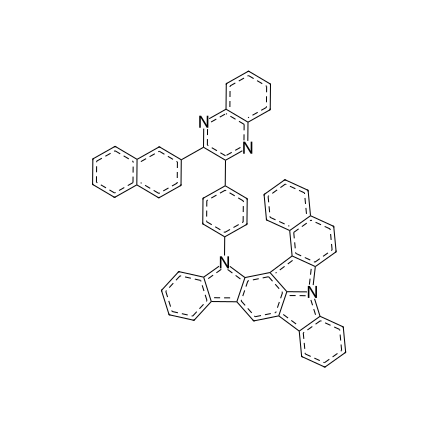 c1ccc2cc(-c3nc4ccccc4nc3-c3ccc(-n4c5ccccc5c5cc6c7ccccc7n7c8ccc9ccccc9c8c(c54)c67)cc3)ccc2c1